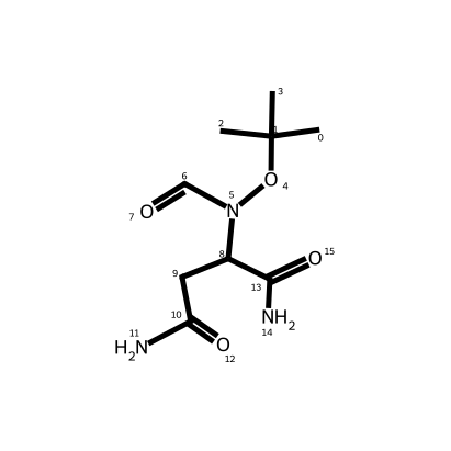 CC(C)(C)ON(C=O)C(CC(N)=O)C(N)=O